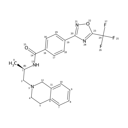 C[C@H](CN1CCc2ccccc2C1)NC(=O)c1ccc(-c2noc(C(F)(F)F)n2)cc1